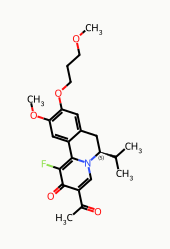 COCCCOc1cc2c(cc1OC)-c1c(F)c(=O)c(C(C)=O)cn1[C@H](C(C)C)C2